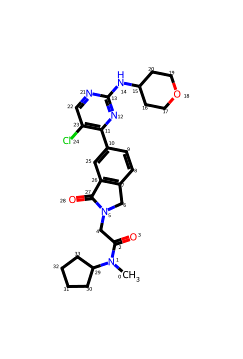 CN(C(=O)CN1Cc2ccc(-c3nc(NC4CCOCC4)ncc3Cl)cc2C1=O)C1CCCC1